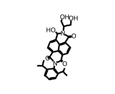 CC(C)c1cccc(C(C)C)c1N1C(=O)c2ccc3c4c(ccc(c24)C1=O)C(O)N(C(CO)CO)C3=O